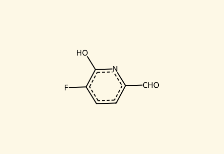 O=Cc1ccc(F)c(O)n1